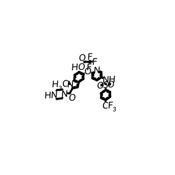 Cn1c(C(=O)N2CCNCC2)cc2cc(Oc3ccc(NS(=O)(=O)c4ccc(C(F)(F)F)cc4)cn3)ccc21.O=C(O)C(F)(F)F